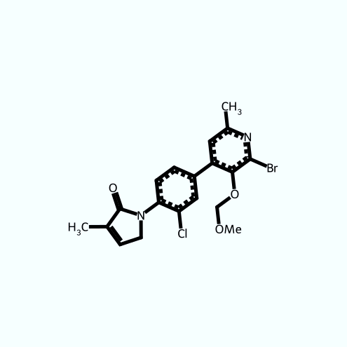 COCOc1c(-c2ccc(N3CC=C(C)C3=O)c(Cl)c2)cc(C)nc1Br